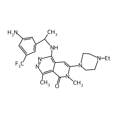 CCN1CCN(c2cc3c(NC(C)c4cc(N)cc(C(F)(F)F)c4)nnc(C)c3c(=O)n2C)CC1